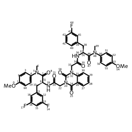 COc1ccc(N(C)C(=O)[C@H](Cc2cc(F)cc(F)c2)NC(=O)Cn2c(=O)c3ccccc3n(CC(=O)N[C@@H](Cc3cccc(F)c3)C(=O)N(C)c3ccc(OC)cc3)c2=O)cc1